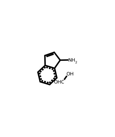 NC1C=Cc2ccccc21.O=CO